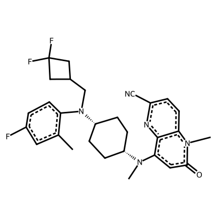 Cc1cc(F)ccc1N(CC1CC(F)(F)C1)[C@H]1CC[C@@H](N(C)c2cc(=O)n(C)c3ccc(C#N)nc23)CC1